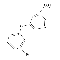 CC(C)c1cccc(Oc2cccc(C(=O)O)c2)c1